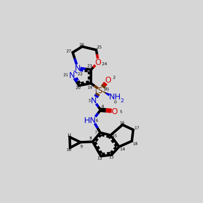 N[S@@](=O)(=NC(=O)Nc1c(C2CC2)ccc2c1CCC2)c1cnn2c1OCCC2